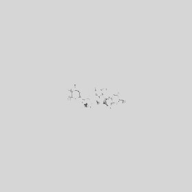 CCC1Cc2c(nn(C)c2-c2cc(F)c(F)c(F)c2)C(CC)N1C(=O)c1cnc2cc(F)ccn12